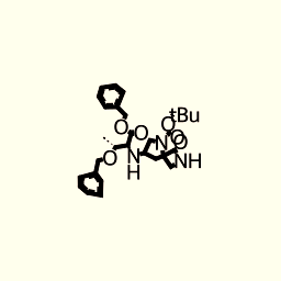 C[C@@H](OCc1ccccc1)[C@H](NC1CN(C(=O)OC(C)(C)C)C2(CNC2=O)C1)C(=O)OCc1ccccc1